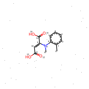 Cc1ccccc1N(C)/C(=C\C(=O)O)C(=O)O